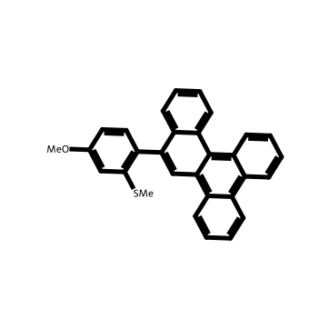 COc1ccc(-c2cc3c4ccccc4c4ccccc4c3c3ccccc23)c(SC)c1